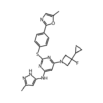 Cc1cc(Nc2cc(N3CC(F)(C4CC4)C3)nc(Sc3ccc(-c4ncc(C)o4)cc3)n2)[nH]n1